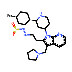 CC(C)[C@H]1CC[C@@H](C2CC(n3c(CCNN[SH](=O)=O)c(CN4CCCC4)c4cccnc43)CCN2)CC1